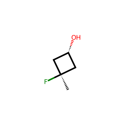 C[C@]1(F)C[C@H](O)C1